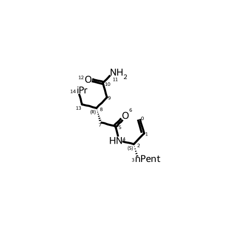 C=C[C@H](CCCCC)NC(=O)C[C@@H](CC(N)=O)CC(C)C